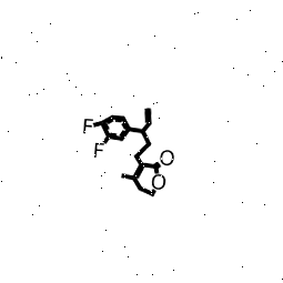 C=CC(CCC1=C(C)CCOC1=O)c1ccc(F)c(F)c1